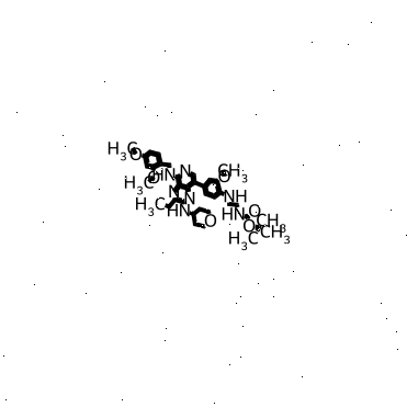 CCc1nc2c(NCc3ccc(OC)cc3OC)ncc(-c3ccc(NCCNC(=O)OC(C)(C)C)c(OC)c3)c2nc1NC1CCOCC1